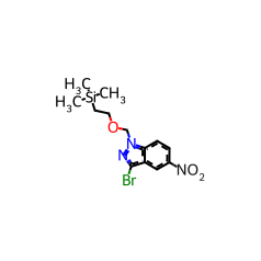 C[Si](C)(C)CCOCn1nc(Br)c2cc([N+](=O)[O-])ccc21